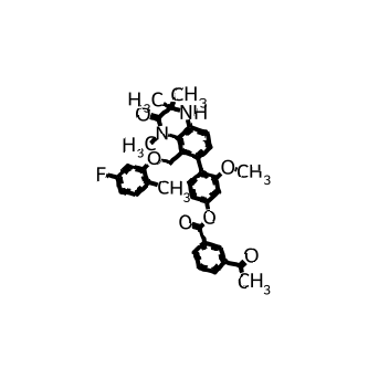 COc1cc(OC(=O)c2cccc(C(C)=O)c2)ccc1-c1ccc2c(c1COc1cc(F)ccc1C)N(C)C(=O)C(C)(C)N2